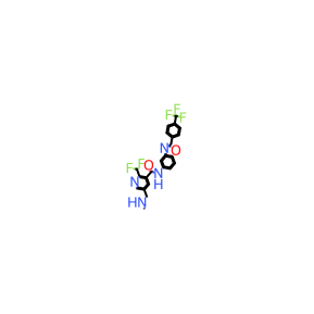 CNCc1cnc(C(F)F)c(C(=O)Nc2ccc3oc(-c4ccc(C(F)(F)F)cc4)nc3c2)c1